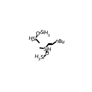 CCCCC=C[SiH](C)O[SiH3].C[SiH](C)O[SiH3]